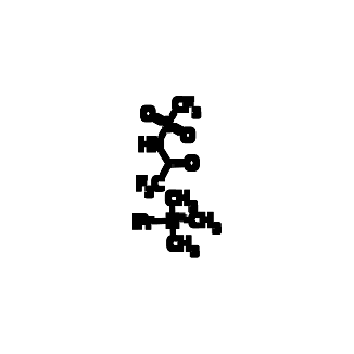 CC(C)[N+](C)(C)C.O=C(NS(=O)(=O)C(F)(F)F)C(F)(F)F